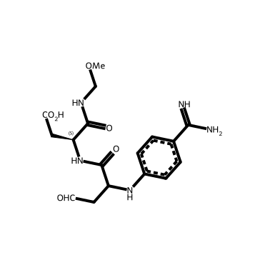 COCNC(=O)[C@H](CC(=O)O)NC(=O)C(CC=O)Nc1ccc(C(=N)N)cc1